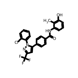 Cc1c(O)cccc1NC(=O)c1ccc(-c2cc(C(F)(F)F)nn2-c2ccccc2Cl)cc1